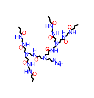 CCCC(=O)NCCNC(=O)CCN(CCNC(=O)CCN(CCCN=[N+]=[N-])CCC(=O)NCCN(CCC(=O)NCCNC(=O)CCC)CCC(=O)NCCNC(=O)CCC)CCC(=O)NCCNC(=O)CCC